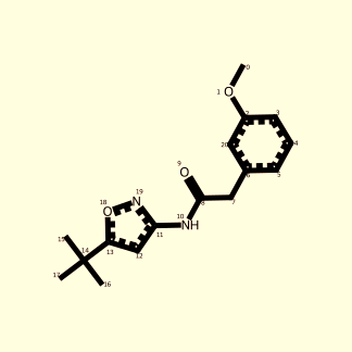 COc1cccc(CC(=O)Nc2cc(C(C)(C)C)on2)c1